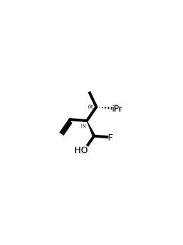 C=C[C@H](C(O)F)[C@H](C)C(C)C